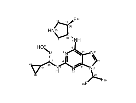 OC[C@H](Nc1nc(N[C@@H]2CNC[C@H]2F)c2ncn(C(F)F)c2n1)C1CC1